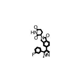 Cn1ncc(-c2ccc3c(c2)CN(C2CCC(=O)NC2=O)C3=O)c1-c1cccc(F)c1